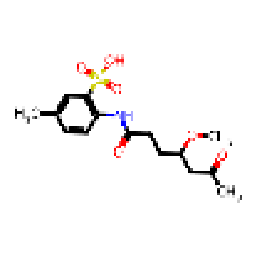 COC(CCC(=O)Nc1ccc(C)cc1S(=O)(=O)O)CC(C)=O